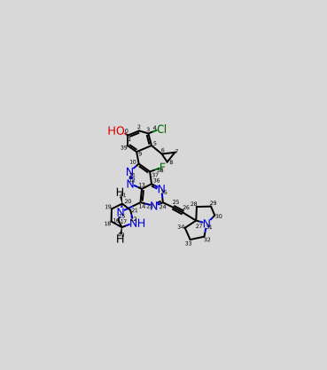 Oc1cc(Cl)c(C2CC2)c(-c2nnc3c(N4C[C@H]5CC[C@@H]4CN5)nc(C#CC45CCCN4CCC5)nc3c2F)c1